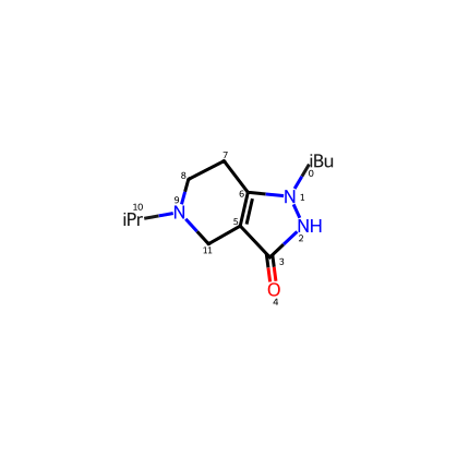 CCC(C)n1[nH]c(=O)c2c1CCN(C(C)C)C2